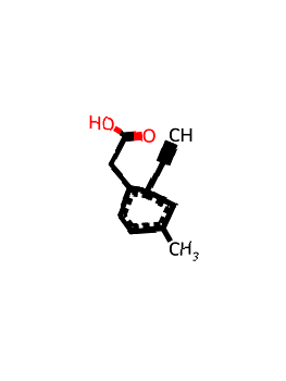 C#Cc1cc(C)ccc1CC(=O)O